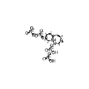 C1=Cc2ccccc2NC=N1.O=[N+]([O-])O.O=[N+]([O-])O.O=[N+]([O-])O.O=[N+]([O-])O